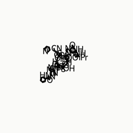 CC(C)C(=O)Nc1nc2c(ncn2[C@@H]2O[C@@H]3COP(O)(=S)O[C@H]4[C@H](F)[C@H](n5nnc6c(NC(=O)c7ccccc7)ncnc65)O[C@@H]4COP(=S)(OCCC#N)O[C@@H]2[C@@H]3F)c(=O)[nH]1.c1ccncc1